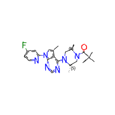 Cc1cn(-c2cc(F)ccn2)c2ncnc(N3C[C@@H](C)N(C(=O)C(C)(C)C)C[C@@H]3C)c12